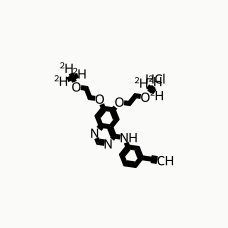 Cl.[2H]C([2H])([2H])OCCOc1cc2ncnc(Nc3cccc(C#C)c3)c2cc1OCCOC([2H])([2H])[2H]